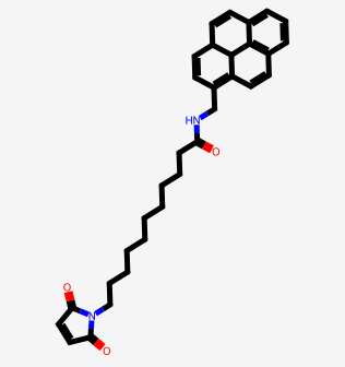 O=C(CCCCCCCCCCN1C(=O)C=CC1=O)NCC1=C2C=Cc3cccc4c3C2C(C=C1)C=C4